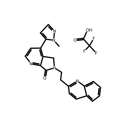 Cn1nccc1-c1ccnc2c1CN(CCc1ccc3ccccc3n1)C2=O.O=C(O)C(F)(F)F